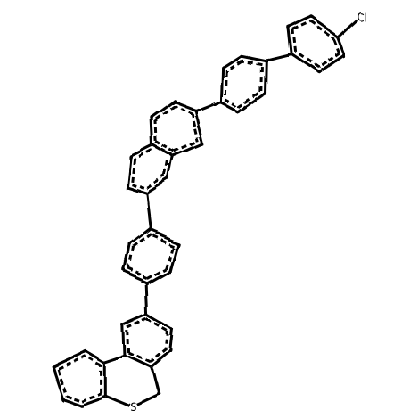 Clc1ccc(-c2ccc(-c3ccc4ccc(-c5ccc(-c6ccc7c(c6)-c6ccccc6SC7)cc5)cc4c3)cc2)cc1